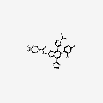 O=C(N[C@H]1CC2=C(c3ccn(C(F)F)n3)[C@H](c3ccc(F)cc3Cl)N=C(c3nccs3)N2C1)N1CCS(=O)(=O)CC1